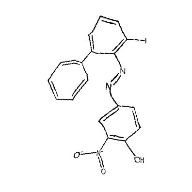 O=[N+]([O-])c1cc(N=Nc2c(I)cccc2-c2ccccc2)ccc1O